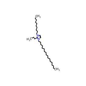 CCCCCCCCCCCCCCCCCC[n+]1ccn(CCCCCCCCCC)c1CCC